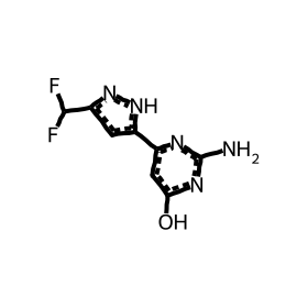 Nc1nc(O)cc(-c2cc(C(F)F)n[nH]2)n1